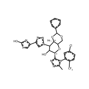 Cc1nnc([C@@H]2OC3COC(c4ccccc4)O[C@@H]3C(n3cc(-c4csc(O)n4)nn3)C2O)n1-c1cc(Cl)ccc1C(F)(F)F